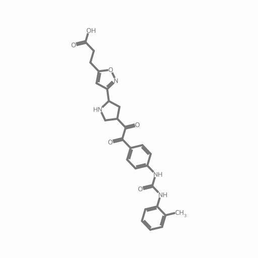 Cc1ccccc1NC(=O)Nc1ccc(C(=O)C(=O)C2CNC(c3cc(CCC(=O)O)on3)C2)cc1